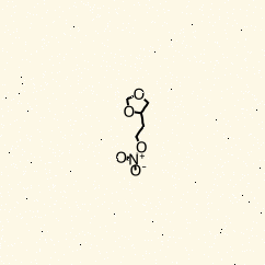 O=[N+]([O-])OCCC1COCO1